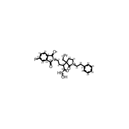 CC(C)CC1(C(CCN2C(=O)c3ccc(F)cc3C2=O)C(=O)NO)CCN(CCc2ccccc2)C1=O